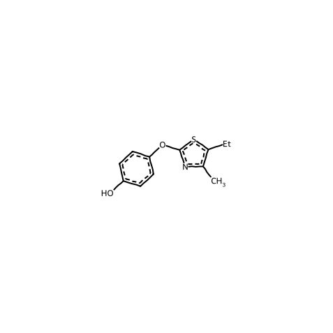 CCc1sc(Oc2ccc(O)cc2)nc1C